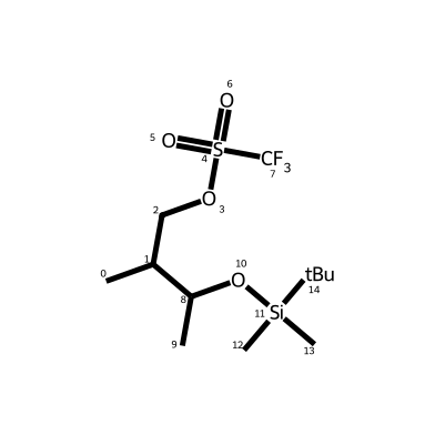 CC(COS(=O)(=O)C(F)(F)F)C(C)O[Si](C)(C)C(C)(C)C